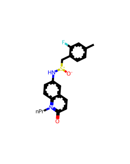 CCCn1c(=O)ccc2cc(N[S+]([O-])Cc3ccc(C)cc3F)ccc21